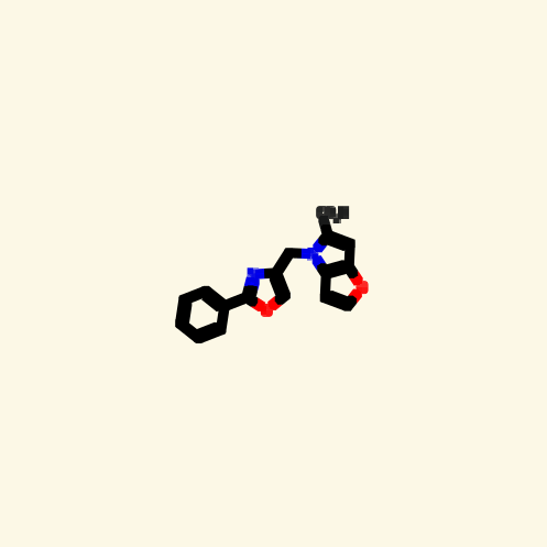 O=C(O)c1cc2occc2n1Cc1coc(-c2ccccc2)n1